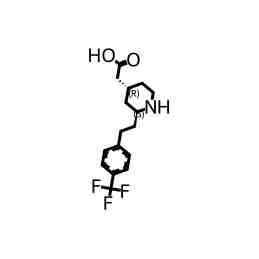 O=C(O)C[C@@H]1CCN[C@@H](CCc2ccc(C(F)(F)F)cc2)C1